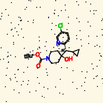 CC(C)(C)OC(=O)N1CCC(O)([C@H](c2ccc(Cl)cn2)C2CC2)CC1